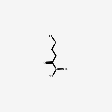 CCCN(C)C(=O)CCSCC